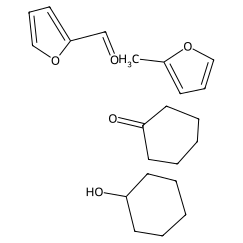 Cc1ccco1.O=C1CCCCC1.O=Cc1ccco1.OC1CCCCC1